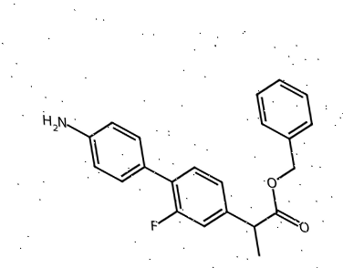 CC(C(=O)OCc1ccccc1)c1ccc(-c2ccc(N)cc2)c(F)c1